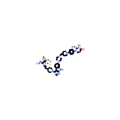 C=C1NC(=O)CCN1c1ccc(N2CCC(CN3CCN(c4ccc5c(c4)[nH]c4ncnc(N6CCC(C/C=N/C(=N\O)C(C)(C)C)CC6)c45)CC3)CC2)cc1